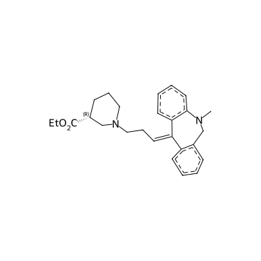 CCOC(=O)[C@@H]1CCCN(CCC=C2c3ccccc3CN(C)c3ccccc32)C1